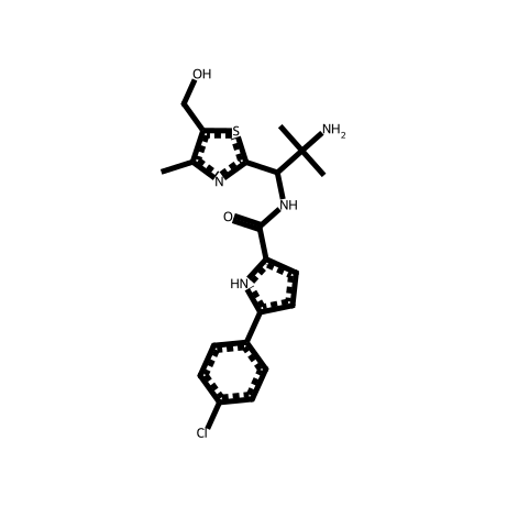 Cc1nc(C(NC(=O)c2ccc(-c3ccc(Cl)cc3)[nH]2)C(C)(C)N)sc1CO